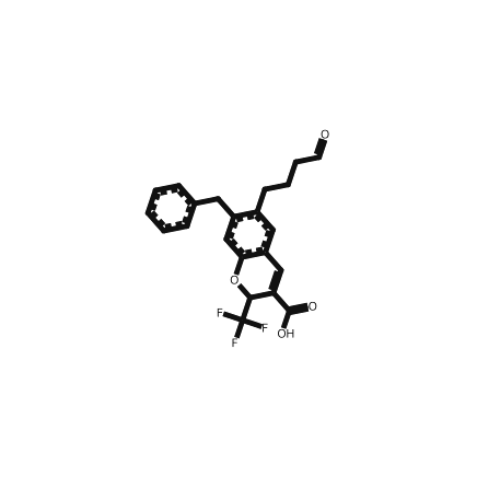 O=CCCCc1cc2c(cc1Cc1ccccc1)OC(C(F)(F)F)C(C(=O)O)=C2